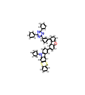 c1ccc(-c2nc(-c3ccccc3)nc(-c3cccc(-c4cccc5oc6ccc(-c7ccc8c(c7)c7cc9c(cc7n8-c7ccccc7)Sc7ccccc7S9)cc6c45)c3)n2)cc1